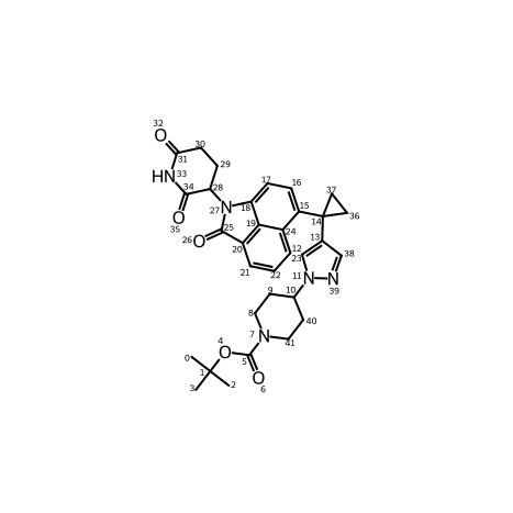 CC(C)(C)OC(=O)N1CCC(n2cc(C3(c4ccc5c6c(cccc46)C(=O)N5C4CCC(=O)NC4=O)CC3)cn2)CC1